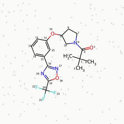 CC(C)(C)C(=O)N1CCC(Oc2cccc(-c3noc(C(F)(F)F)n3)c2)C1